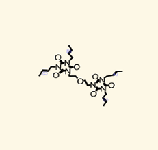 C/C=C/Cn1c(=O)n(C/C=C/C)c(=O)n(CCOCCn2c(=O)n(C/C=C/C)c(=O)n(C/C=C/C)c2=O)c1=O